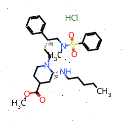 CCCCCN[C@@H]1CC(C(=O)OC)CCN1CC[C@@H](CN(C)S(=O)(=O)c1ccccc1)c1ccccc1.Cl